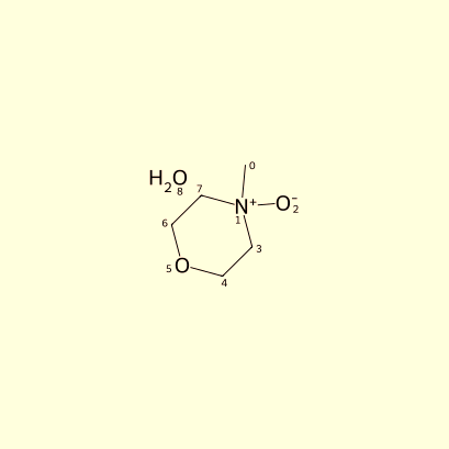 C[N+]1([O-])CCOCC1.O